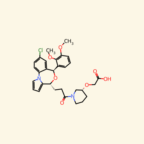 COc1cccc([C@H]2O[C@H](CCC(=O)N3CCC[C@@H](OCC(=O)O)C3)c3cccn3-c3ccc(Cl)cc32)c1OC